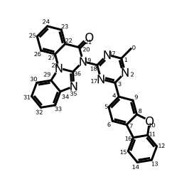 Cc1nc(-c2ccc3c(c2)oc2ccccc23)nc(-n2c(=O)c3ccccc3n3c4ccccc4nc23)n1